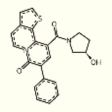 O=C(c1cc(-c2ccccc2)c(=O)n2ccc3ccsc3c12)N1CC[C@@H](O)C1